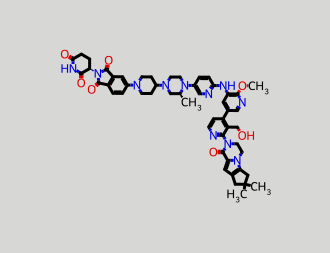 COc1ncc(-c2ccnc(N3CCn4c(cc5c4CC(C)(C)C5)C3=O)c2CO)cc1Nc1ccc(N2CCN(C3CCN(c4ccc5c(c4)C(=O)N([C@H]4CCC(=O)NC4=O)C5=O)CC3)C[C@@H]2C)cn1